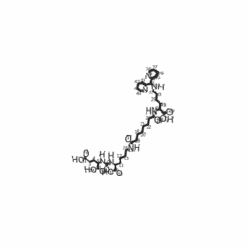 O=C(O)CCC(NC(=O)NC(CCCCNC(=O)CCCCCCC(=O)NC(CCCCNC(c1ccccn1)c1ccccn1)C(=O)O)C(=O)O)C(=O)O